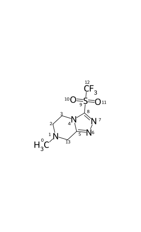 CN1CCn2c(nnc2S(=O)(=O)C(F)(F)F)C1